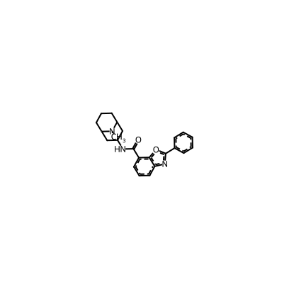 CN1C2CCCC1CC(NC(=O)c1cccc3nc(-c4ccccc4)oc13)C2